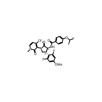 COc1cc(F)c([C@@H]2CN(c3c(C(F)(F)F)ccn(C)c3=O)C(=O)[C@H]2NC(=O)c2ccc(OC(F)F)cc2)c(F)c1